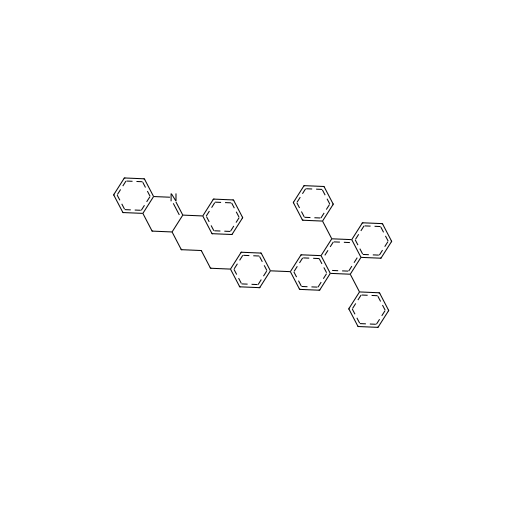 c1ccc(C2=Nc3ccccc3CC2CCCc2ccc(-c3ccc4c(-c5ccccc5)c5ccccc5c(-c5ccccc5)c4c3)cc2)cc1